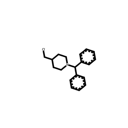 ClCC1CCN(C(c2ccccc2)c2ccccc2)CC1